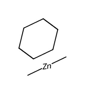 C1CCCCC1.[CH3][Zn][CH3]